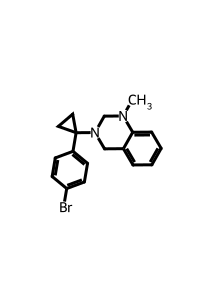 CN1CN(C2(c3ccc(Br)cc3)CC2)Cc2ccccc21